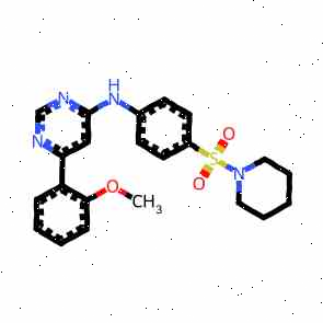 COc1ccccc1-c1cc(Nc2ccc(S(=O)(=O)N3CCCCC3)cc2)ncn1